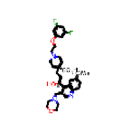 COc1ccc2ncc(CN3CCOCC3)c([C@@H](O)CCC3(C(=O)O)CCN(CCOc4cc(F)cc(F)c4)CC3)c2c1